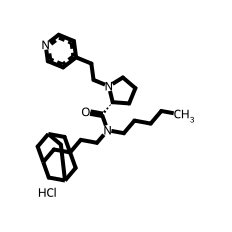 CCCCCN(CCC12CC3CC(CC(C3)C1)C2)C(=O)[C@H]1CCCN1CCc1ccncc1.Cl